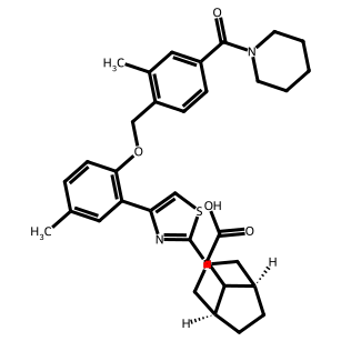 Cc1ccc(OCc2ccc(C(=O)N3CCCCC3)cc2C)c(-c2csc(N3C[C@H]4CC[C@@H](C3)C4CC(=O)O)n2)c1